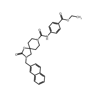 CCOC(=O)c1ccc(NC(=O)N2CCC3(CC2)CN(Cc2ccc4ccccc4c2)C(=O)O3)cc1